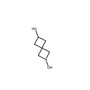 OC1CC2(C1)CN(O)C2